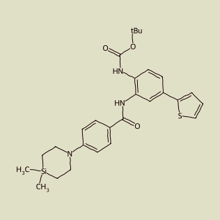 CC(C)(C)OC(=O)Nc1ccc(-c2cccs2)cc1NC(=O)c1ccc(N2CC[Si](C)(C)CC2)cc1